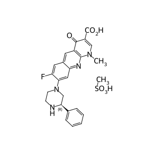 CS(=O)(=O)O.Cn1cc(C(=O)O)c(=O)c2cc3cc(F)c(N4CCN[C@H](c5ccccc5)C4)cc3nc21